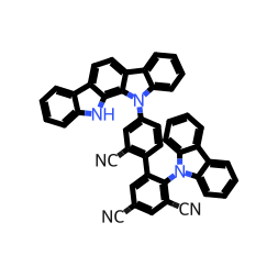 N#Cc1cc(C#N)c(-n2c3ccccc3c3ccccc32)c(-c2ccc(-n3c4ccccc4c4ccc5c6ccccc6[nH]c5c43)cc2C#N)c1